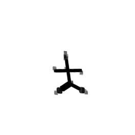 CC(C)(F)C([O])=O